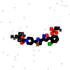 CC(C)(C)OC(=O)N1CCC(c2nc(C3=NOC(c4c(Cl)cccc4OS(C)(=O)=O)C3)cs2)CC1